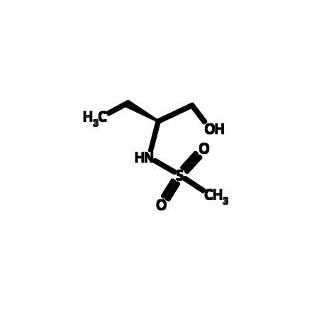 CC[C@@H](CO)NS(C)(=O)=O